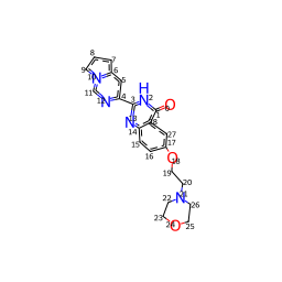 O=c1[nH]c(-c2cc3cccn3cn2)nc2ccc(OCCN3CCOCC3)cc12